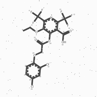 CCOc1c(C(F)(F)F)nc(C(F)(F)F)c(C(=O)O)c1OC(=O)COc1ccc(Cl)cc1Cl